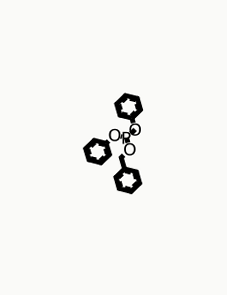 c1ccc(COP(Oc2ccccc2)Oc2ccccc2)cc1